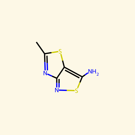 Cc1nc2nsc(N)c2s1